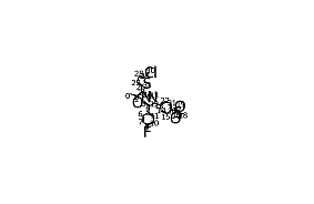 Cc1oc2c(-c3ccc(F)cc3)c(-c3ccc(S(C)(=O)=O)cc3)nn2c1-c1ccc(Cl)s1